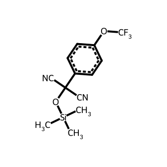 C[Si](C)(C)OC(C#N)(C#N)c1ccc(OC(F)(F)F)cc1